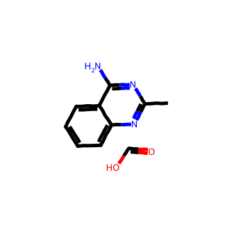 Cc1nc(N)c2ccccc2n1.O=CO